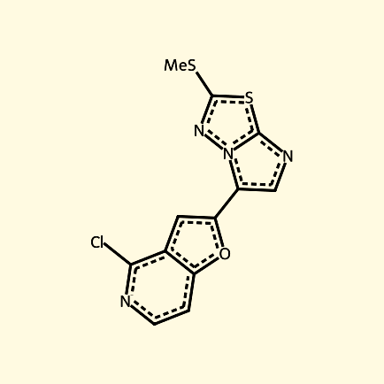 CSc1nn2c(-c3cc4c(Cl)nccc4o3)cnc2s1